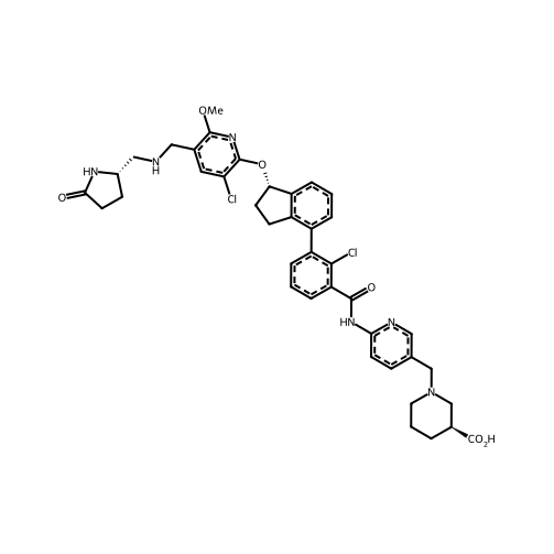 COc1nc(O[C@H]2CCc3c(-c4cccc(C(=O)Nc5ccc(CN6CCC[C@H](C(=O)O)C6)cn5)c4Cl)cccc32)c(Cl)cc1CNC[C@@H]1CCC(=O)N1